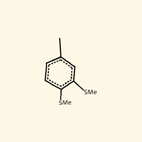 CSc1ccc(C)cc1SC